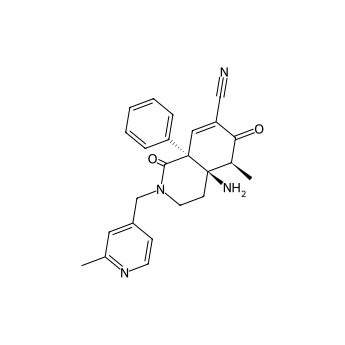 Cc1cc(CN2CC[C@@]3(N)[C@H](C)C(=O)C(C#N)=C[C@]3(c3ccccc3)C2=O)ccn1